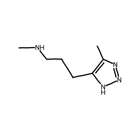 CNCCCc1[nH]nnc1C